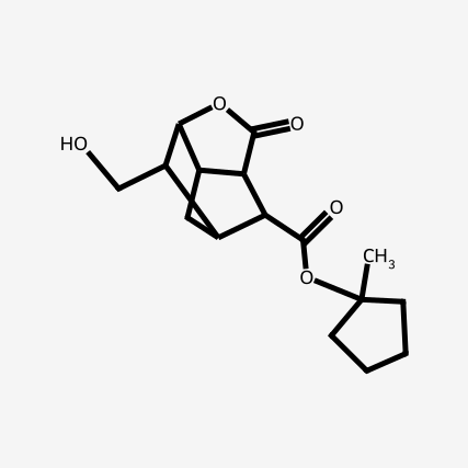 CC1(OC(=O)C2C3CC4C(OC(=O)C42)C3CO)CCCC1